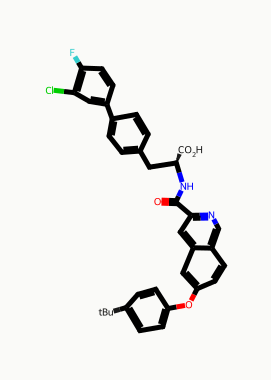 CC(C)(C)c1ccc(Oc2ccc3cnc(C(=O)N[C@@H](Cc4ccc(-c5ccc(F)c(Cl)c5)cc4)C(=O)O)cc3c2)cc1